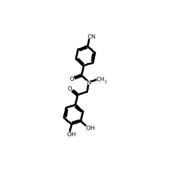 CN(CC(=O)c1ccc(O)c(O)c1)C(=O)c1ccc(C#N)cc1